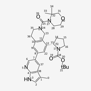 Cc1c[nH]c2ncc(-c3cc4c(c([C@@H]5CCCN5C(=O)OC(C)(C)C)c3)CN(C(=O)N3CCOCC3(C)C)CC4)cc12